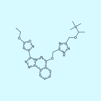 CCOc1cc(-c2nnc3c4ccccc4c(OCc4nc(COC(C)[Si](C)(C)C)n[nH]4)nn23)no1